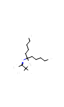 CCCCCC(C)(CCCCC)/N=C(/C)C(C)(C)C